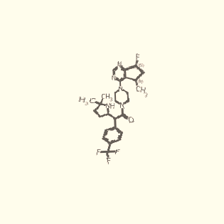 C[C@@H]1C[C@H](F)c2ncnc(N3CCN(C(=O)C(c4ccc(C(F)(F)F)cc4)C4CCC(C)(C)N4)CC3)c21